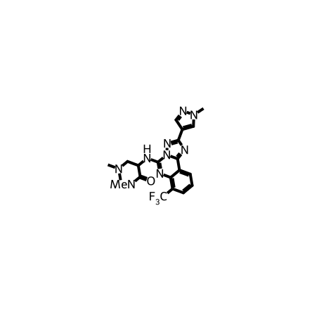 CNC(=O)C(CN(C)C)Nc1nc2c(C(F)(F)F)cccc2c2nc(-c3cnn(C)c3)nn12